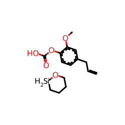 C1CC[SiH2]OC1.C=CCc1ccc(OC(=O)O)c(OC)c1